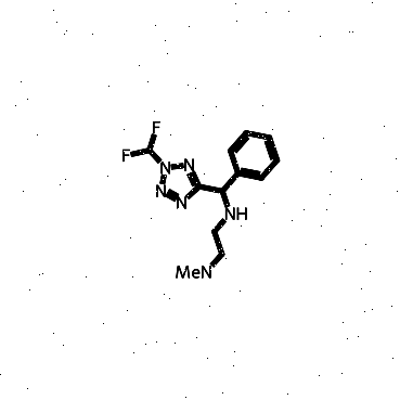 CNCCNC(c1ccccc1)c1nnn(C(F)F)n1